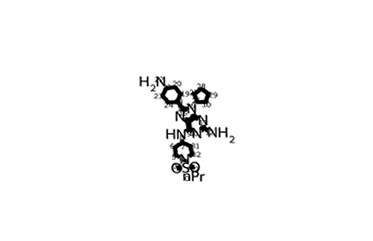 CCCS(=O)(=O)N1CCC(Nc2nc(N)nc3c2nc(C2CCC(N)CC2)n3C2CCCC2)CC1